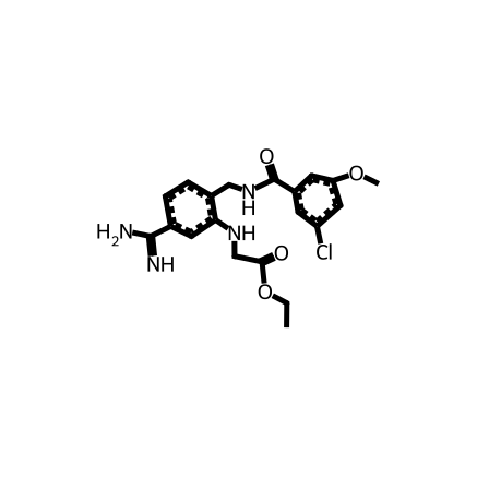 CCOC(=O)CNc1cc(C(=N)N)ccc1CNC(=O)c1cc(Cl)cc(OC)c1